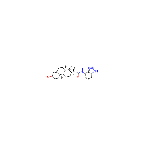 C[C@]12CC[C@H]3[C@@H](CCC4=CC(=O)CC[C@@]43C)[C@@H]1CC[C@@H]2C(=O)Nc1cccc2[nH]nnc12